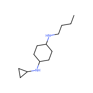 CCCCNC1CCC(NC2CC2)CC1